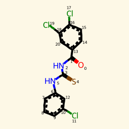 O=C(NC(=S)Nc1cccc(Cl)c1)c1ccc(Cl)c(Cl)c1